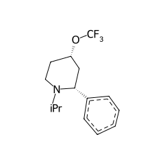 CC(C)N1CC[C@H](OC(F)(F)F)C[C@@H]1c1ccccc1